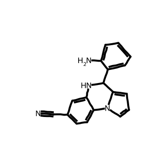 N#Cc1ccc2c(c1)NC(c1ccccc1N)c1cccn1-2